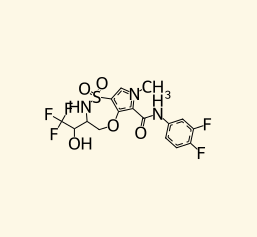 Cn1cc2c(c1C(=O)Nc1ccc(F)c(F)c1)OCC(C(O)C(F)(F)F)NS2(=O)=O